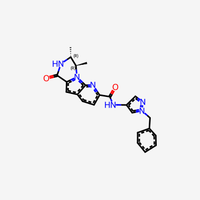 C[C@@H]1[C@@H](C)NC(=O)c2cc3ccc(C(=O)Nc4cnn(Cc5ccccc5)c4)nc3n21